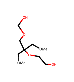 COCC(COC)(COCO)OCCO